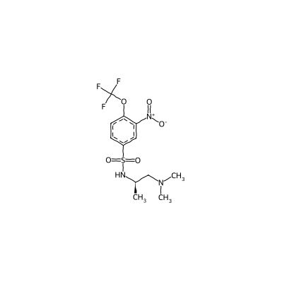 C[C@H](CN(C)C)NS(=O)(=O)c1ccc(OC(F)(F)F)c([N+](=O)[O-])c1